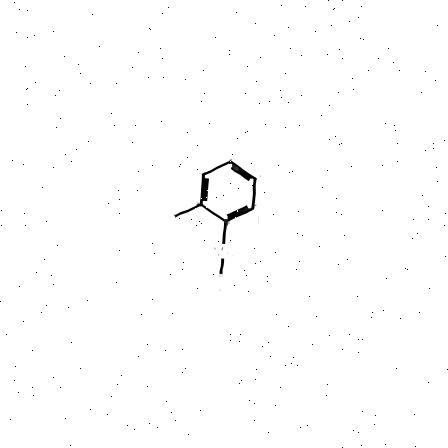 Cc1cccc[c]1[Mg][F].Cl